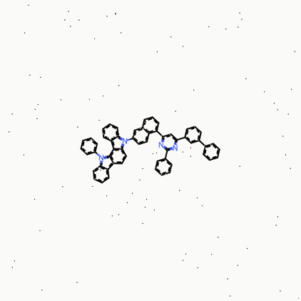 c1ccc(-c2cccc(-c3cc(-c4cccc5cc(-n6c7ccccc7c7c6ccc6c8ccccc8n(-c8ccccc8)c67)ccc45)nc(-c4ccccc4)n3)c2)cc1